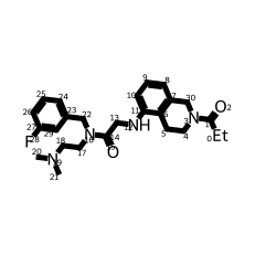 CCC(=O)N1CCc2c(cccc2NCC(=O)N(CCN(C)C)Cc2cccc(F)c2)C1